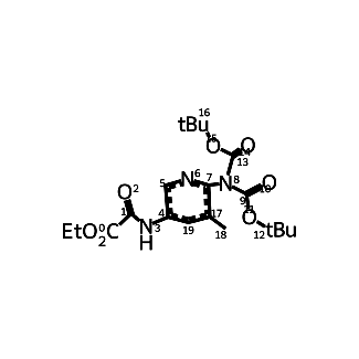 CCOC(=O)C(=O)Nc1cnc(N(C(=O)OC(C)(C)C)C(=O)OC(C)(C)C)c(C)c1